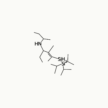 CCC(C)NC(CC)C(C)=C(C)[SiH2][Si](C(C)C)(C(C)C)C(C)C